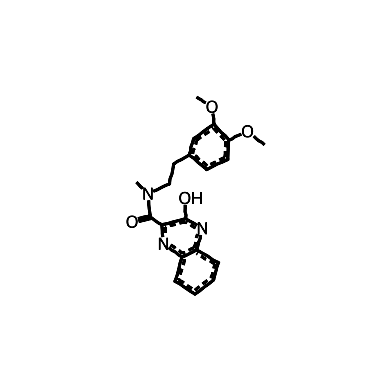 COc1ccc(CCN(C)C(=O)c2nc3ccccc3nc2O)cc1OC